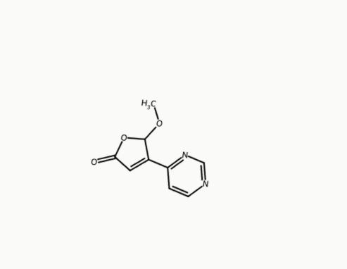 COC1OC(=O)C=C1c1ccncn1